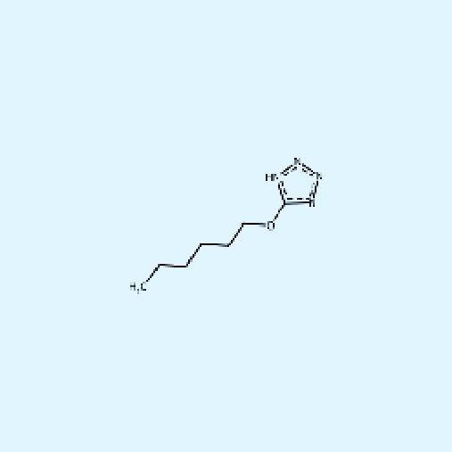 CCCCCCOc1nnn[nH]1